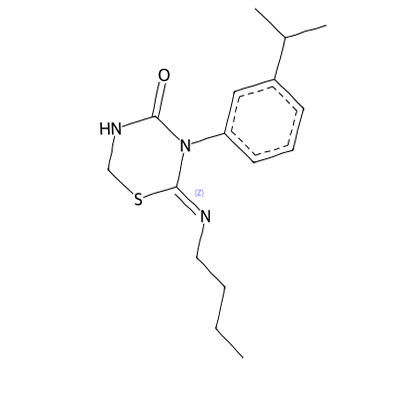 CCCC/N=C1\SCNC(=O)N1c1cccc(C(C)C)c1